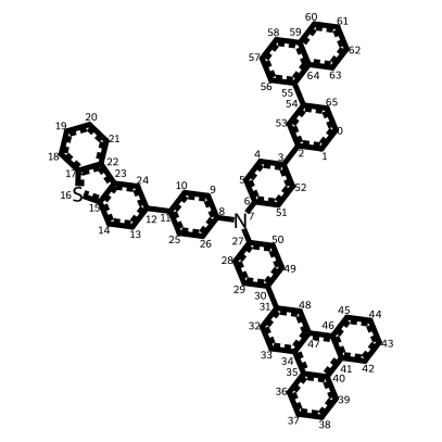 c1cc(-c2ccc(N(c3ccc(-c4ccc5sc6ccccc6c5c4)cc3)c3ccc(-c4ccc5c6ccccc6c6ccccc6c5c4)cc3)cc2)cc(-c2cccc3ccccc23)c1